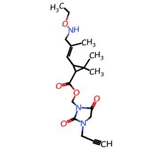 C#CCN1CC(=O)N(COC(=O)C2C(/C=C(\C)CNOCC)C2(C)C)C1=O